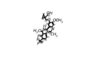 COc1cc2nc(C)nc(NC(C)c3cccc(C(F)(F)F)c3F)c2cc1OCC1(CO)CC1